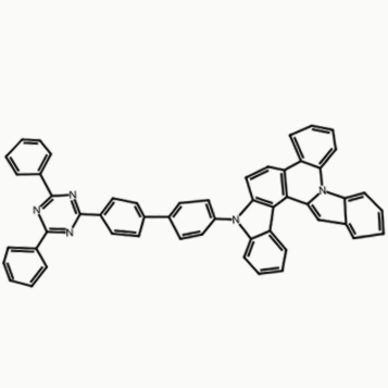 c1ccc(-c2nc(-c3ccccc3)nc(-c3ccc(-c4ccc(-n5c6ccccc6c6c7c(ccc65)c5ccccc5n5c6ccccc6cc75)cc4)cc3)n2)cc1